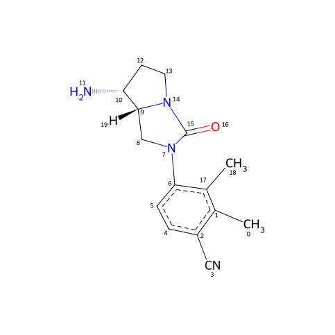 Cc1c(C#N)ccc(N2C[C@@H]3[C@H](N)CCN3C2=O)c1C